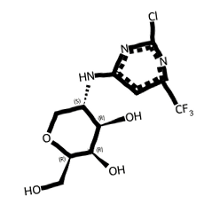 OC[C@H]1OC[C@H](Nc2cc(C(F)(F)F)nc(Cl)n2)[C@@H](O)[C@H]1O